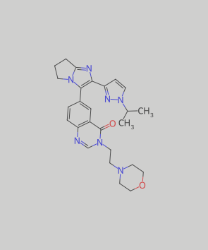 CC(C)n1ccc(-c2nc3n(c2-c2ccc4ncn(CCN5CCOCC5)c(=O)c4c2)CCC3)n1